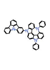 c1ccc(-n2c3ccc4c5c3c3c2cccc3n(-c2ccccc2)c2cccc(c52)n4-c2ccc3c(c2)c2cccc4c5ccccc5n3c42)cc1